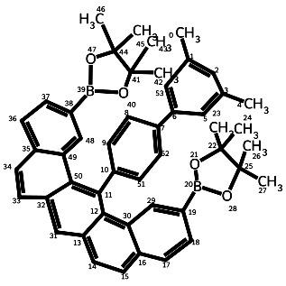 Cc1cc(C)cc(-c2ccc(-c3c4c(ccc5ccc(B6OC(C)(C)C(C)(C)O6)cc54)cc4ccc5ccc(B6OC(C)(C)C(C)(C)O6)cc5c34)cc2)c1